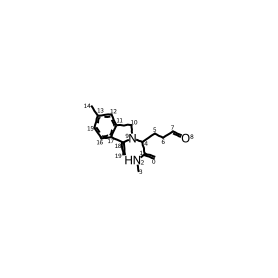 C=C(NC)C(CCC=O)N1Cc2cc(C)ccc2C1=C